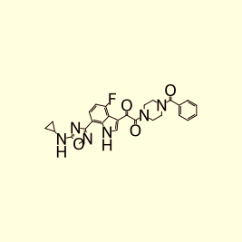 O=C(C(=O)N1CCN(C(=O)c2ccccc2)CC1)c1c[nH]c2c(-c3noc(NC4CC4)n3)ccc(F)c12